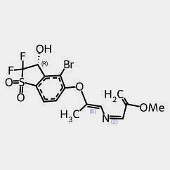 C=C(/C=N\C=C(/C)Oc1ccc2c(c1Br)[C@@H](O)C(F)(F)S2(=O)=O)OC